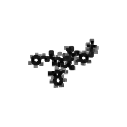 C[C@@H](NC(=O)OCc1ccccc1)C(=O)N[C@@H](Cc1c[nH]c2ccccc12)C(=O)N[C@@H](Cc1ccc(O[Si](C)(C)C(C)(C)C)cc1)C(=O)[C@@]1(C)CO1